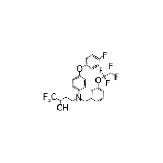 OC(CCN(Cc1cccc(OC(F)(F)C(F)F)c1)c1ccc(Oc2ccc(F)cc2)cc1)C(F)(F)F